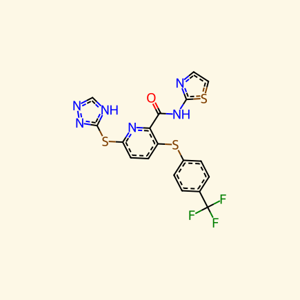 O=C(Nc1nccs1)c1nc(Sc2nnc[nH]2)ccc1Sc1ccc(C(F)(F)F)cc1